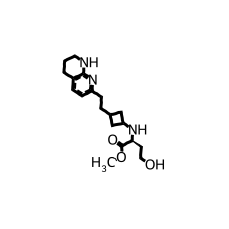 COC(=O)[C@H](CCO)NC1CC(CCc2ccc3c(n2)NCCC3)C1